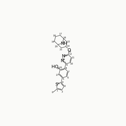 Cc1ccc(-c2ccc(-c3ccc(OC4CC5CCCC(C4)N5)nn3)c(O)c2)s1